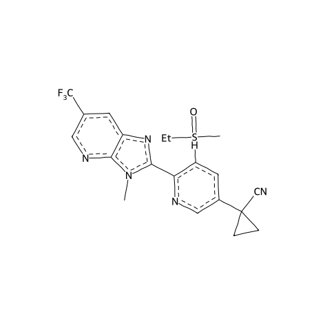 CC[SH](C)(=O)c1cc(C2(C#N)CC2)cnc1-c1nc2cc(C(F)(F)F)cnc2n1C